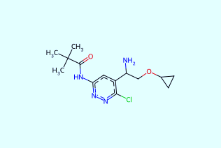 CC(C)(C)C(=O)Nc1cc(C(N)COC2CC2)c(Cl)nn1